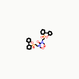 O=C1N(CCP2(=O)Oc3ccccc3-c3ccccc32)COOCN1CCP1(=O)Oc2ccccc2-c2ccccc21